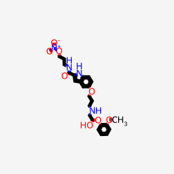 COc1ccccc1OC(O)CNCCCOc1ccc2[nH]c(C(=O)NCCCO[N+](=O)[O-])cc2c1